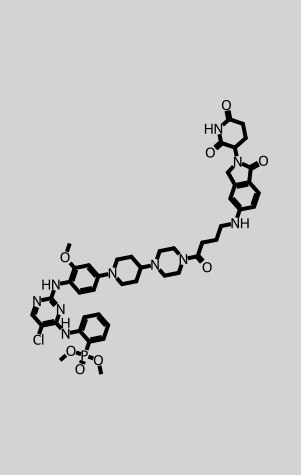 COc1cc(N2CCC(N3CCN(C(=O)CCCNc4ccc5c(c4)CN(C4CCC(=O)NC4=O)C5=O)CC3)CC2)ccc1Nc1ncc(Cl)c(Nc2ccccc2P(=O)(OC)OC)n1